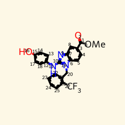 COC(=O)c1ccc2c(c1)nc(Nc1ccc(O)cc1)n2Cc1ccccc1C(F)(F)F